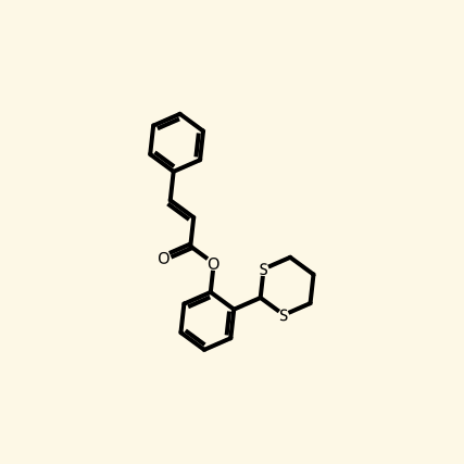 O=C(C=Cc1ccccc1)Oc1ccccc1C1SCCCS1